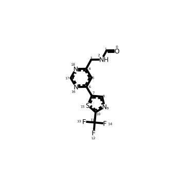 O=CNCc1cc(-c2cnc(C(F)(F)F)s2)ncn1